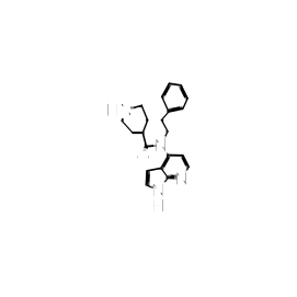 O=C(C1CCNCC1)N(CCc1ccccc1)c1ccnc2[nH]ccc12